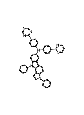 c1ccc(-n2ccc3c2ccc2c4cc(N(c5ccc(-c6ncccn6)cc5)c5ccc(-c6ncncn6)cc5)ccc4n(-c4ccccc4)c23)cc1